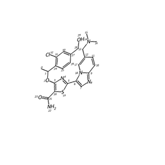 CC(Oc1nc(-c2cnc3ccc(CN(C)C)cn23)sc1C(N)=O)c1ccc(CO)cc1Cl